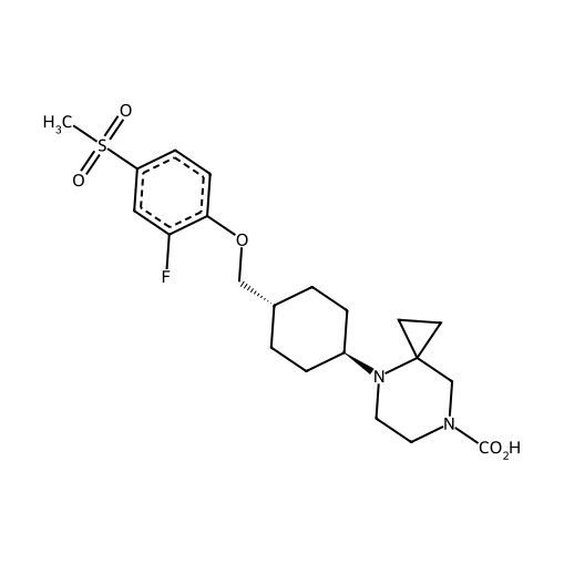 CS(=O)(=O)c1ccc(OC[C@H]2CC[C@H](N3CCN(C(=O)O)CC34CC4)CC2)c(F)c1